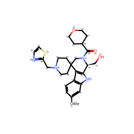 COc1ccc2c3c([nH]c2c1)[C@H](CO)N(C(=O)C1CCOCC1)CC31CCN(Cc2nccs2)CC1